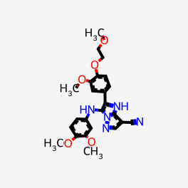 COCCOc1ccc(-c2[nH]c3c(C#N)cnn3c2Nc2ccc(OC)c(OC)c2)cc1OC